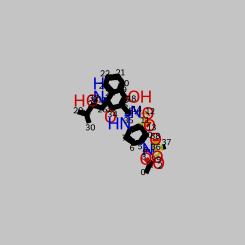 CC(=O)ON(c1ccc2c(c1)S(=O)(=O)N=C(C1=C(O)c3ccccc3C(CCC(C)C)(NO)C1=O)N2)S(C)(=O)=O